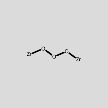 [Zr][O]O[O][Zr]